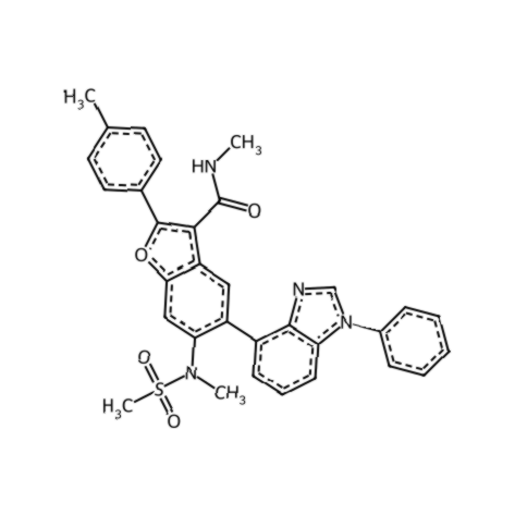 CNC(=O)c1c(-c2ccc(C)cc2)oc2cc(N(C)S(C)(=O)=O)c(-c3cccc4c3ncn4-c3ccccc3)cc12